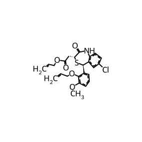 C=CCOC(=O)C[C@H]1S[C@H](c2cccc(OC)c2OCC=C)c2cc(Cl)ccc2NC1=O